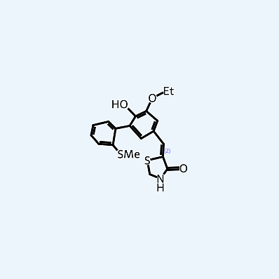 CCOc1cc(/C=C2\SCNC2=O)cc(-c2ccccc2SC)c1O